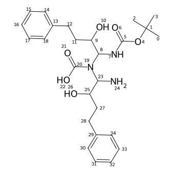 CC(C)(C)OC(=O)NC(C(O)CCc1ccccc1)N(C(=O)O)C(N)C(O)CCc1ccccc1